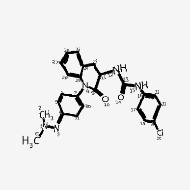 CN(C)N=C1C=CC(N2C(=O)C(NC(=O)Nc3ccc(Cl)cc3)Cc3ccccc32)=CC1